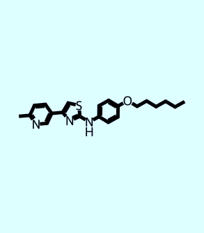 CCCCCCOc1ccc(Nc2nc(-c3ccc(C)nc3)cs2)cc1